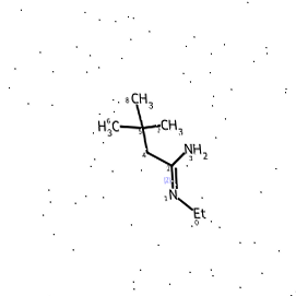 CC/N=C(\N)CC(C)(C)C